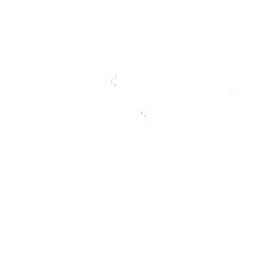 O=C1Nc2ccc(Cl)cc2C(c2ccccc2)N1c1cccc(C(F)(F)F)c1